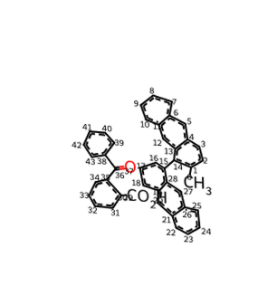 Cc1ccc2cc3ccccc3cc2c1-c1cccc2cc3ccccc3cc12.O=C(O)c1ccccc1C(=O)c1ccccc1